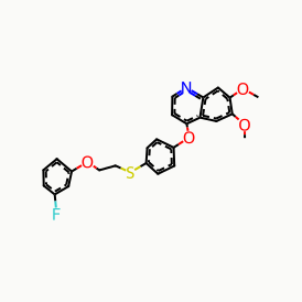 COc1cc2nccc(Oc3ccc(SCCOc4cccc(F)c4)cc3)c2cc1OC